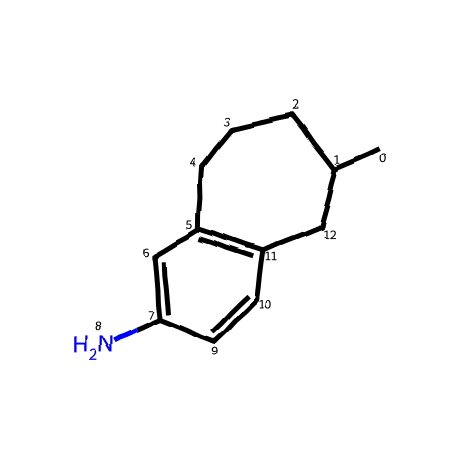 CC1CCCc2cc(N)ccc2C1